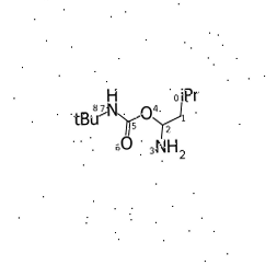 CC(C)CC(N)OC(=O)NC(C)(C)C